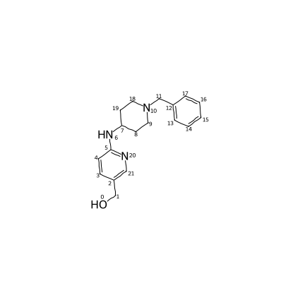 OCc1ccc(NC2CCN(Cc3ccccc3)CC2)nc1